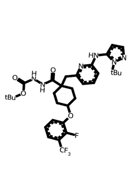 CC(C)(C)OC(=O)NNC(=O)C1(Cc2cccc(Nc3ccnn3C(C)(C)C)n2)CCC(Oc2cccc(C(F)(F)F)c2F)CC1